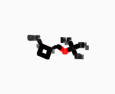 CC(C)(C)[Si](C)(C)OC[C@@H]1CC[C@H]1C=O